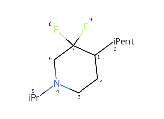 CCCC(C)C1CCN(C(C)C)CC1(F)F